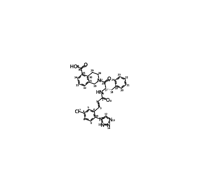 O=C(C=Cc1cc(Cl)ccc1-n1cnnn1)N[C@@H](Cc1ccccc1)C(=O)N1CCc2c(cccc2C(=O)O)C1